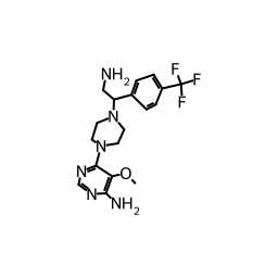 COc1c(N)ncnc1N1CCN(C(CN)c2ccc(C(F)(F)F)cc2)CC1